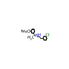 COc1cccc(C(C)NCCCc2cccc(Cl)c2)c1